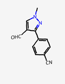 Cn1cc(C=O)c(-c2ccc(C#N)cc2)n1